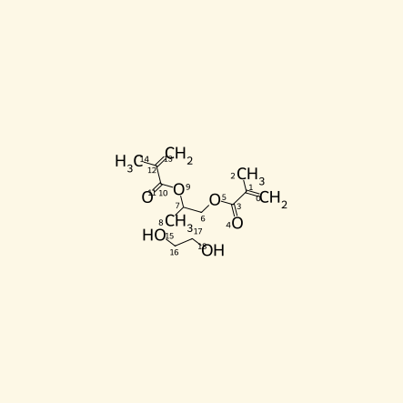 C=C(C)C(=O)OCC(C)OC(=O)C(=C)C.OCCO